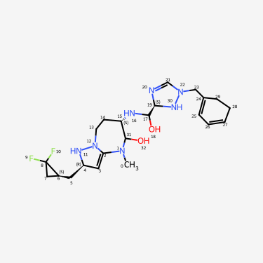 CN1C2=C[C@@H](C[C@H]3CC3(F)F)NN2CC[C@H](NC(O)[C@H]2N=CN(CC3=CC=CCC3)N2)C1O